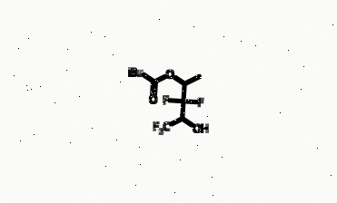 CCC(C)C(=O)OC(C)C(F)(F)C(O)C(F)(F)F